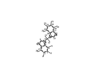 Cc1c(C)c(C)c2c(ncn2C(C)(C)n2cnc3c(C)c(C)c(C)c(C)c32)c1C